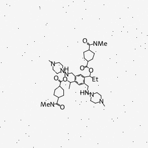 CCC(OC(=O)C1CCC(C(=O)NC)CC1)c1cc(CNN2CCN(C)CC2)c(C(C)OC(=O)C2CCC(C(=O)NC)CC2)cc1CNN1CCN(C)CC1